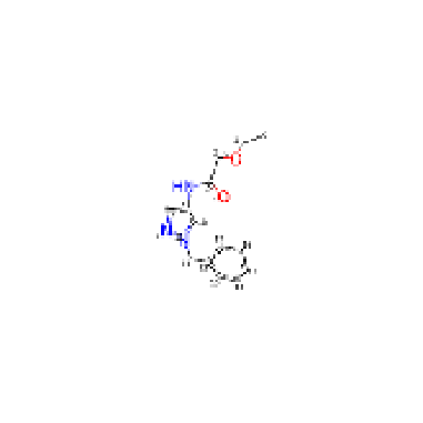 CCOCC(=O)Nc1cnn(Cc2ccccc2)c1